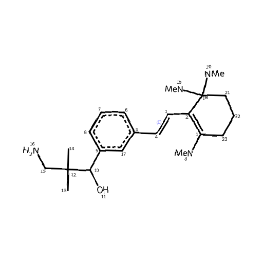 CNC1=C(/C=C/c2cccc(C(O)C(C)(C)CN)c2)C(NC)(NC)CCC1